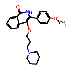 COc1ccc(-c2[nH]c(=O)c3ccccc3c2OCCCN2CCCCC2)cc1